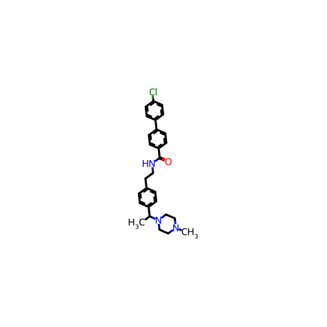 CC(c1ccc(CCNC(=O)c2ccc(-c3ccc(Cl)cc3)cc2)cc1)N1CCN(C)CC1